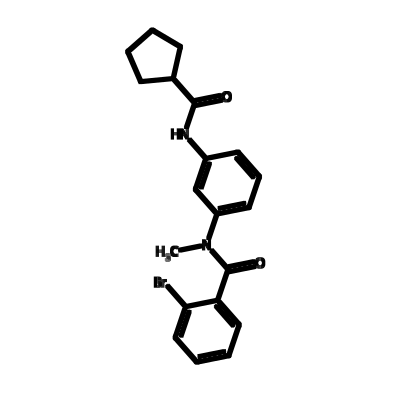 CN(C(=O)c1ccccc1Br)c1cccc(NC(=O)C2CCCC2)c1